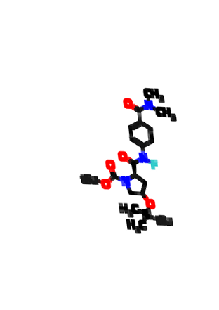 CN(C)C(=O)c1ccc(N(F)C(=O)[C@H]2C[C@@H](O[Si](C)(C)C(C)(C)C)CN2C(=O)OC(C)(C)C)cc1